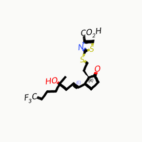 CC(O)(C/C=C/C1CCC(=O)[C@@H]1CCSc1nc(C(=O)O)cs1)CCCC(F)(F)F